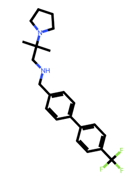 CC(C)(CNCc1ccc(-c2ccc(C(F)(F)F)cc2)cc1)N1CCCC1